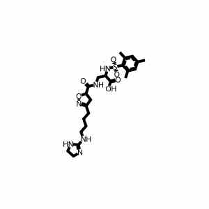 Cc1cc(C)c(S(=O)(=O)NC(CNC(=O)C2CC(CCCCNC3=NCCN3)=NO2)C(=O)O)c(C)c1